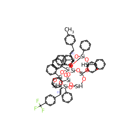 Cc1ccc(/C=C/[Si]2(c3ccccc3)O[Si]3(c4ccccc4)O[SiH](c4ccccc4)O[Si]4(c5ccccc5)OC[SiH]5O[Si](/C=C/c6ccc(C(F)(F)F)cc6)(c6ccccc6)O[Si](O[SiH3])(c6ccccc6)O[Si](c6ccccc6)(O3)O[Si](c3ccccc3)(O5)O[Si](c3ccccc3)(O2)O4)cc1